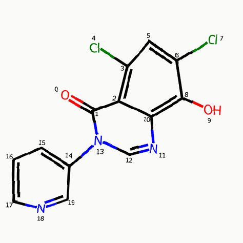 O=c1c2c(Cl)cc(Cl)c(O)c2ncn1-c1cccnc1